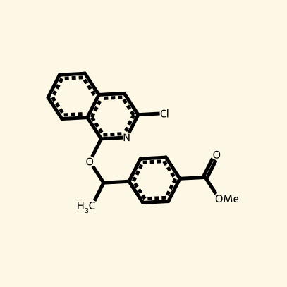 COC(=O)c1ccc(C(C)Oc2nc(Cl)cc3ccccc23)cc1